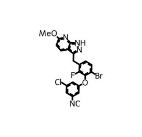 [C-]#[N+]c1cc(Cl)cc(Oc2c(Br)ccc(Cc3n[nH]c4nc(OC)ccc34)c2F)c1